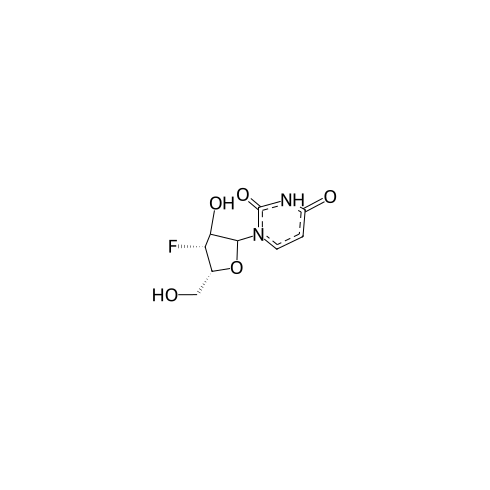 O=c1ccn(C2O[C@H](CO)[C@H](F)C2O)c(=O)[nH]1